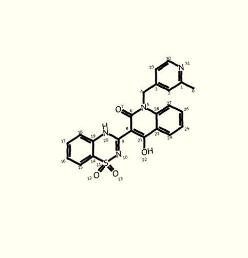 Cc1cc(Cn2c(=O)c(C3=NS(=O)(=O)c4ccccc4N3)c(O)c3ccccc32)ccn1